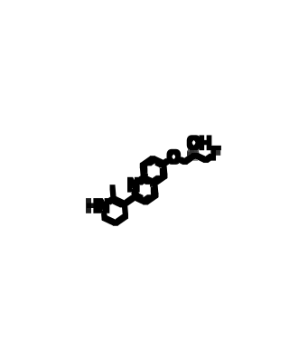 CC1=C(c2ccc3cc(OC[C@H](O)CF)ccc3n2)CCCN1